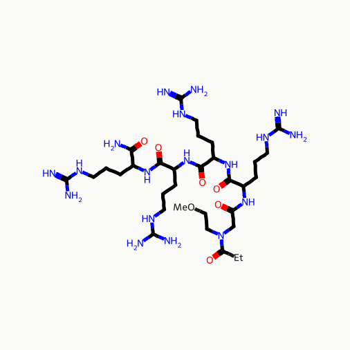 CCC(=O)N(CCOC)CC(=O)NC(CCCNC(=N)N)C(=O)NC(CCCNC(=N)N)C(=O)NC(CCCNC(N)N)C(=O)NC(CCCNC(=N)N)C(N)=O